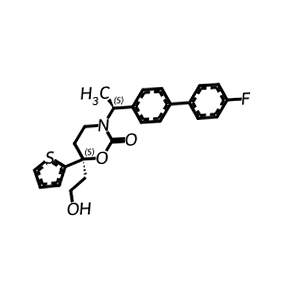 C[C@@H](c1ccc(-c2ccc(F)cc2)cc1)N1CC[C@](CCO)(c2cccs2)OC1=O